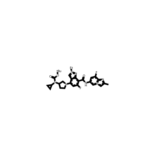 CCn1cc2c(N3CCC(N(C(=O)OC(C)(C)C)C4CC4)C3)cc(F)c(C(=O)Nc3cc(F)c4nc(C)cn4c3)c2n1